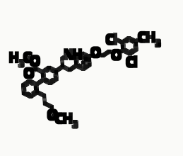 COCCCc1ccccc1-c1ccc(C(CN)Cc2ccc(OCCOc3c(Cl)cc(C)cc3Cl)cc2)cc1C(=O)OC